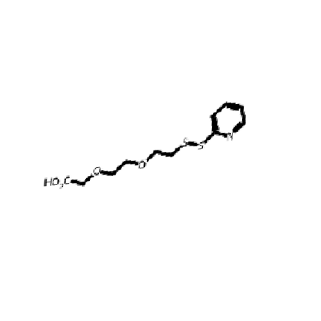 O=C(O)COCCOCCSSc1ccccn1